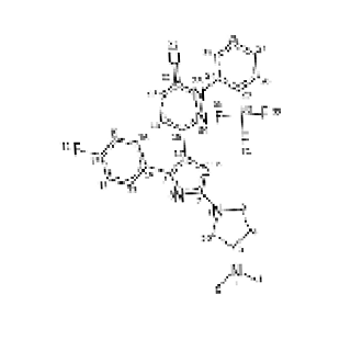 CN(C)C1CCN(c2nc(-c3ccc(F)cc3)c(-c3ccc(=O)n(-c4ccccc4C(F)(F)F)n3)s2)C1